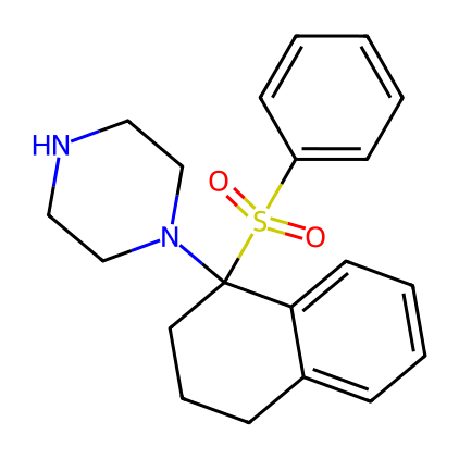 O=S(=O)(c1ccccc1)C1(N2CCNCC2)CCCc2ccccc21